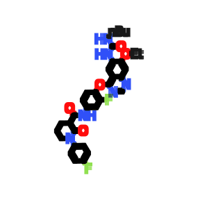 CCCCNC(=O)Nc1cc2c(Oc3ccc(NC(=O)C4CCCN(c5ccc(F)cc5)C4=O)cc3F)ncnc2cc1OCC